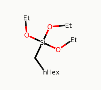 [CH2]CCCCCC[Si](OCC)(OCC)OCC